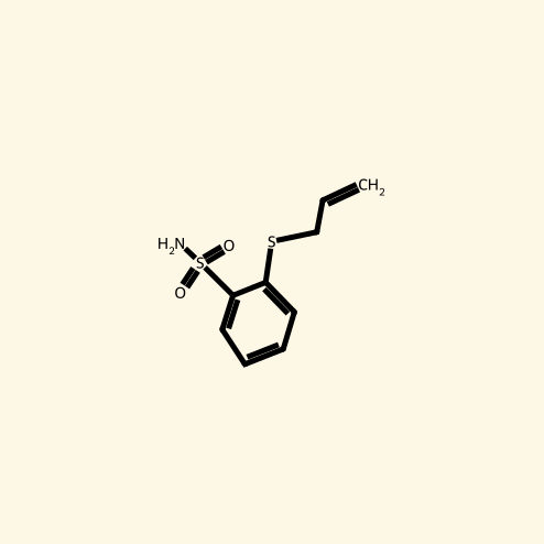 C=CCSc1ccccc1S(N)(=O)=O